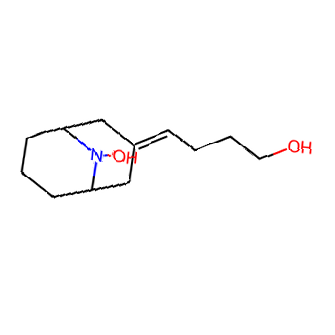 OCCCC=C1CC2CCCC(C1)N2O